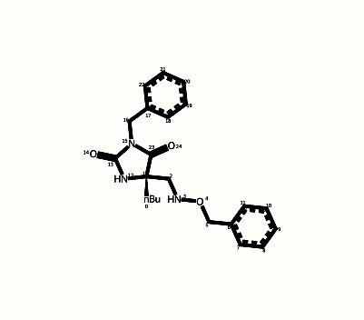 CCCC[C@@]1(CNOCc2ccccc2)NC(=O)N(Cc2ccccc2)C1=O